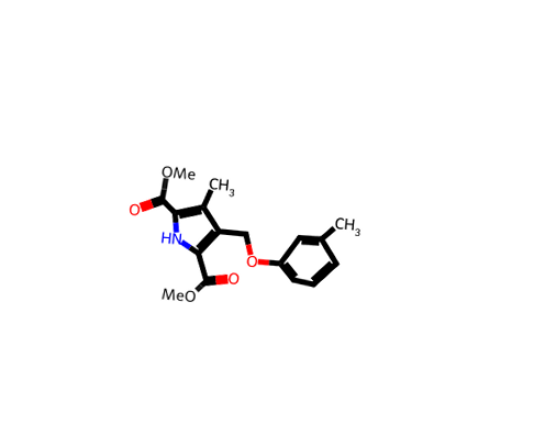 COC(=O)c1[nH]c(C(=O)OC)c(COc2cccc(C)c2)c1C